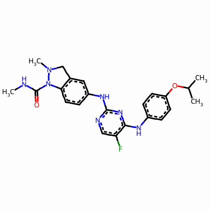 CNC(=O)N1c2ccc(Nc3ncc(F)c(Nc4ccc(OC(C)C)cc4)n3)cc2CN1C